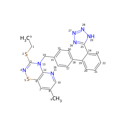 CCSC1=NSc2cc(C)cnc2N1Cc1ccc(-c2ccccc2-c2nnn[nH]2)cc1